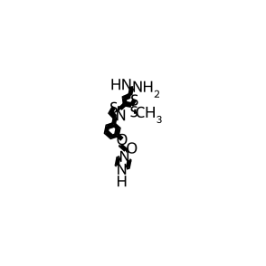 CSc1sc(C(=N)N)cc1-c1nc(-c2cccc(OCC(=O)N3CCNCC3)c2)cs1